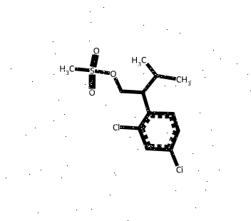 CC(C)C(COS(C)(=O)=O)c1ccc(Cl)cc1Cl